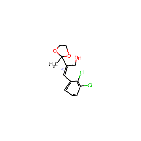 CC1(/C(=C/c2cccc(Cl)c2Cl)CO)OCCO1